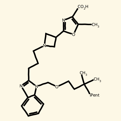 CCCC(C)C(C)(C)CCOCn1c(CCCN2CC(c3nc(C(=O)O)c(C)o3)C2)nc2ccccc21